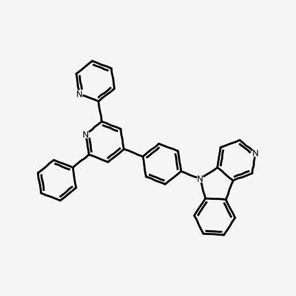 c1ccc(-c2cc(-c3ccc(-n4c5ccccc5c5cnccc54)cc3)cc(-c3ccccn3)n2)cc1